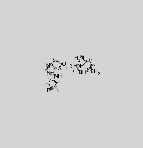 B=C(CCCOc1ccc2ncnc(Nc3ccc(F)c(C)c3)c2c1)Nc1cc(B)ccc1N